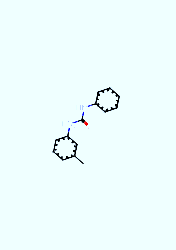 Cc1cccc(NC(=O)Nc2c[c]ccc2)c1